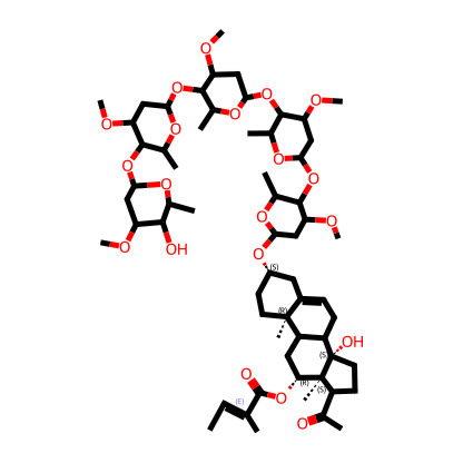 C/C=C(\C)C(=O)O[C@@H]1CC2C(CC=C3C[C@@H](OC4CC(OC)C(OC5CC(OC)C(OC6CC(OC)C(OC7CC(OC)C(OC8CC(OC)C(O)C(C)O8)C(C)O7)C(C)O6)C(C)O5)C(C)O4)CC[C@@]32C)[C@@]2(O)CCC(C(C)=O)[C@@]12C